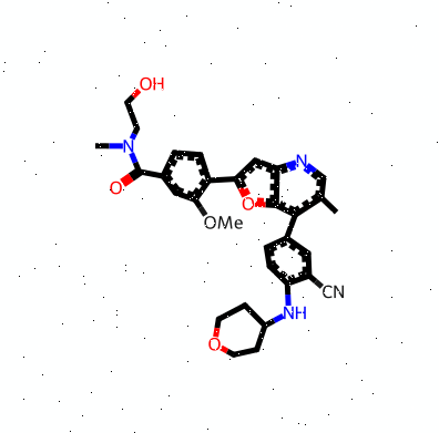 COc1cc(C(=O)N(C)CCO)ccc1-c1cc2ncc(C)c(-c3ccc(NC4CCOCC4)c(C#N)c3)c2o1